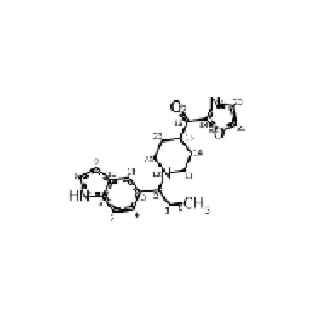 CCC(c1ccc2[nH]ccc2c1)N1CCC(C(=O)c2ncco2)CC1